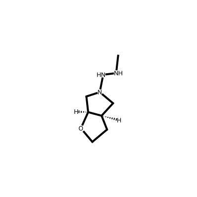 CNNN1C[C@H]2CCO[C@H]2C1